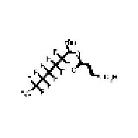 CC(C)(C)C(OC(=O)C=CC(=O)O)C(F)(F)C(F)(F)C(F)(F)C(F)(F)C(F)(F)C(F)(F)F